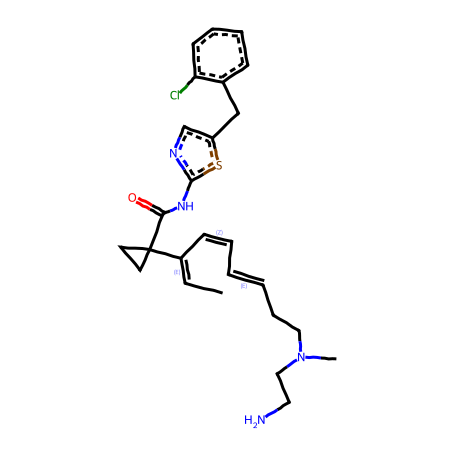 C\C=C(/C=C\C=C\CCN(C)CCN)C1(C(=O)Nc2ncc(Cc3ccccc3Cl)s2)CC1